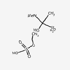 CCC(C)(O)NC.COS(=O)(=O)O.O